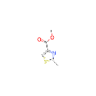 COC(=O)c1csc(C)n1